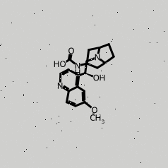 COc1ccc2nccc([C@H](O)CN3C4CCC3CC(NC(=O)O)C4)c2c1